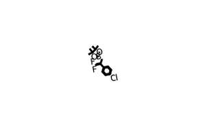 CC1(C)OB(CC(=C(F)F)c2ccc(Cl)cc2)OC1(C)C